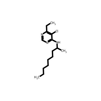 CCCCCCCC(C)Nc1ncnc(CC)c1Cl